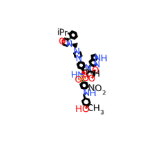 CC(C)c1ccccc1[C@@H]1COCCN1C1CC1N1CCN(c2ccc(C(=O)NS(=O)(=O)c3ccc(NCC4CCC(C)(O)CC4)c([N+](=O)[O-])c3)c(N3c4cc5cc[nH]c5nc4O[C@H]4COCC[C@@H]43)c2)CC1